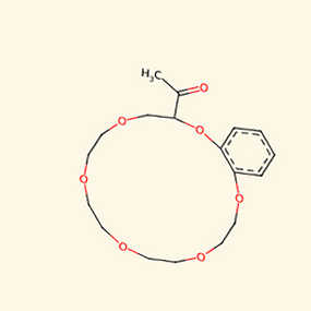 CC(=O)C1COCCOCCOCCOCCOc2ccccc2O1